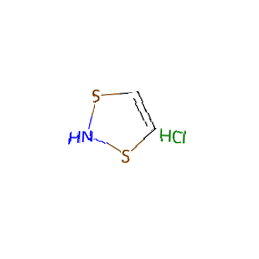 C1=CSNS1.Cl